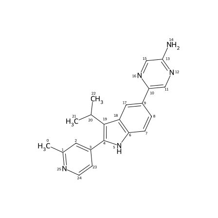 Cc1cc(-c2[nH]c3ccc(-c4cnc(N)cn4)cc3c2C(C)C)ccn1